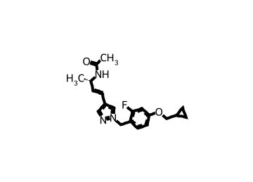 CC(=O)N[C@@H](C)/C=C/c1cnn(Cc2ccc(OCC3CC3)cc2F)c1